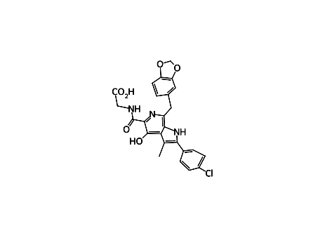 Cc1c(-c2ccc(Cl)cc2)[nH]c2c(Cc3ccc4c(c3)OCO4)nc(C(=O)NCC(=O)O)c(O)c12